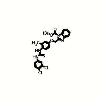 Cc1cc(OCc2nc3ccccc3n2C(=O)OC(C)(C)C)ccc1NC(=S)Nc1ccc(Cl)c(Cl)c1